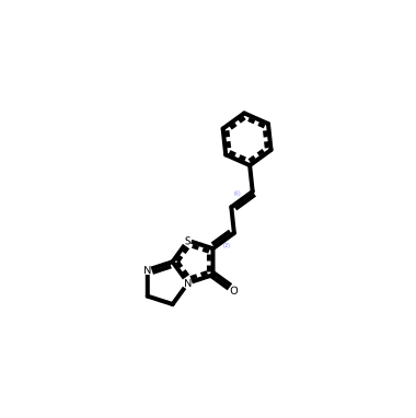 O=c1/c(=C/C=C/c2ccccc2)sc2n1CCN=2